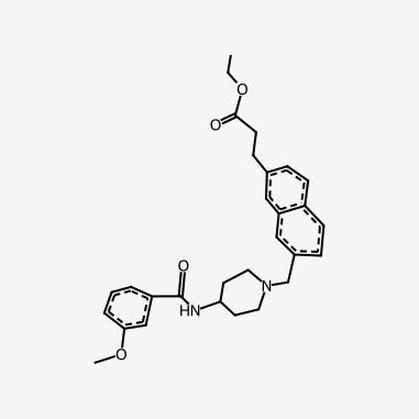 CCOC(=O)CCc1ccc2ccc(CN3CCC(NC(=O)c4cccc(OC)c4)CC3)cc2c1